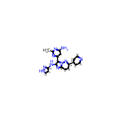 Cc1nc(N)cc(-c2c(Nc3cc[nH]n3)nc3ccc(-c4ccncc4)nn23)n1